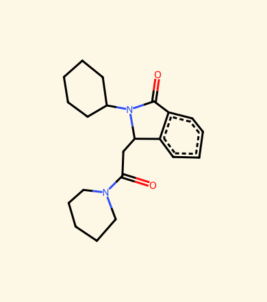 O=C(CC1c2ccccc2C(=O)N1C1CCCCC1)N1CCCCC1